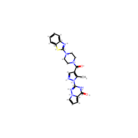 Cc1c(C(=O)N2CCN(c3nc4ccccc4s3)CC2)cnn1-c1nn2cccc2c(=O)[nH]1